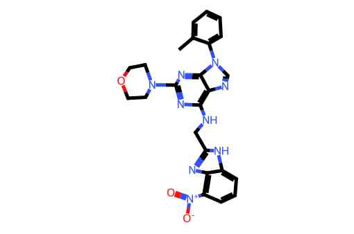 Cc1ccccc1-n1cnc2c(NCc3nc4c([N+](=O)[O-])cccc4[nH]3)nc(N3CCOCC3)nc21